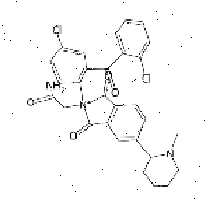 CN1CCCCC1c1ccc2c(c1)C(=O)[N+](CC(N)=O)(c1ccc(Cl)cc1C(=O)c1ccccc1Cl)C2=O